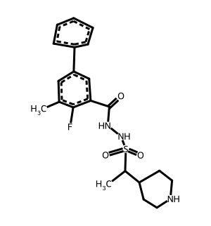 Cc1cc(-c2ccccc2)cc(C(=O)NNS(=O)(=O)C(C)C2CCNCC2)c1F